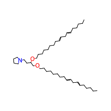 CCCCC/C=C/C/C=C/CCCCCCCCOCC(CCN1CCCC1)OCCCCCCCC/C=C/C/C=C/CCCCC